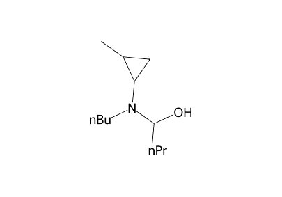 CCCCN(C(O)CCC)C1CC1C